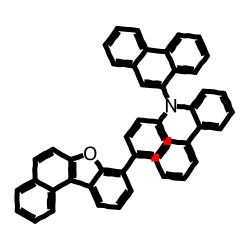 c1ccc(-c2ccccc2N(c2ccc(-c3cccc4c3oc3ccc5ccccc5c34)cc2)c2cc3ccccc3c3ccccc23)cc1